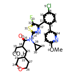 COc1ccc(-c2ccc(Cl)cc2-c2nc(N(C(=O)C(CC(=O)O)CC3CCOCC3)C3CC3)sc2F)cn1